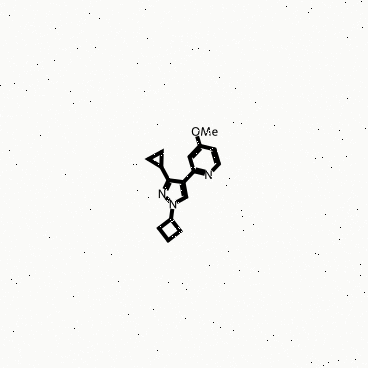 COc1ccnc(-c2cn(C3CCC3)nc2C2CC2)c1